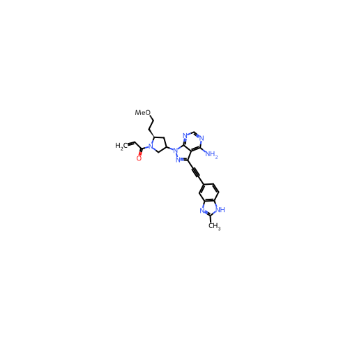 C=CC(=O)N1CC(n2nc(C#Cc3ccc4[nH]c(C)nc4c3)c3c(N)ncnc32)C[C@@H]1CCOC